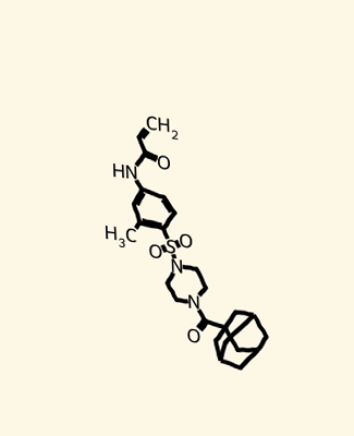 C=CC(=O)Nc1ccc(S(=O)(=O)N2CCN(C(=O)C34CC5CC(CC(C5)C3)C4)CC2)c(C)c1